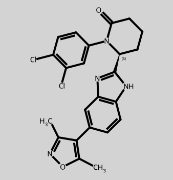 Cc1noc(C)c1-c1ccc2[nH]c([C@@H]3CCCC(=O)N3c3ccc(Cl)c(Cl)c3)nc2c1